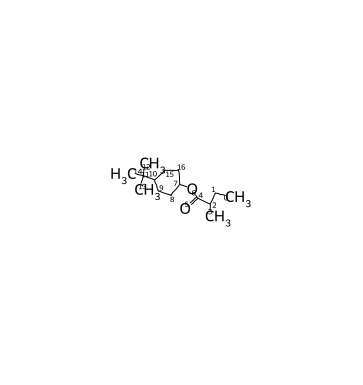 CCC(C)C(=O)OC1CCC(C(C)(C)C)CC1